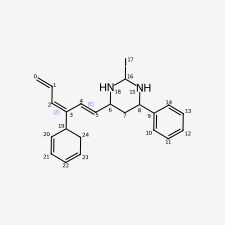 C=C/C=C(\C=C\C1CC(c2ccccc2)NC(I)N1)C1C=CC=CC1